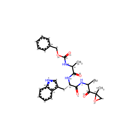 CCC(C)C(NC(=O)[C@H](Cc1c[nH]c2ccccc12)NC(=O)C(C)NC(=O)OCc1ccccc1)C(=O)C1(C)CO1